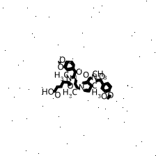 CC(CC[C@H](C(=O)c1ccc2c(c1)OCO2)N(C)C(=O)CCCC(=O)O)N1C=CCC(C(=O)N(C)[C@H](C)C(=O)c2ccc3c(c2)OCO3)=C1